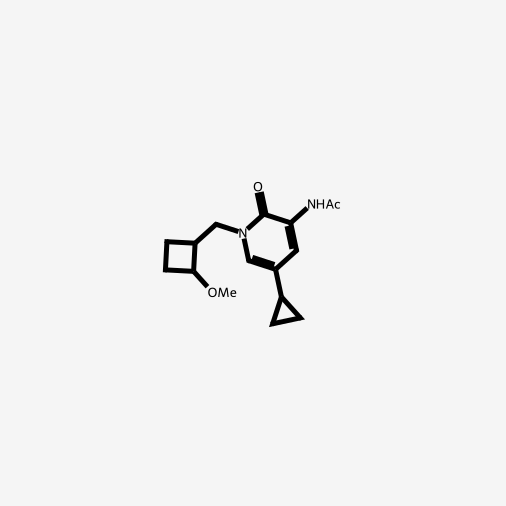 COC1CCC1Cn1cc(C2CC2)cc(NC(C)=O)c1=O